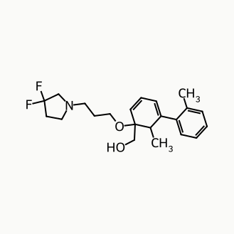 Cc1ccccc1C1=CC=CC(CO)(OCCCN2CCC(F)(F)C2)C1C